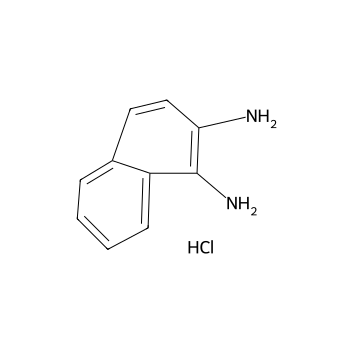 Cl.Nc1ccc2ccccc2c1N